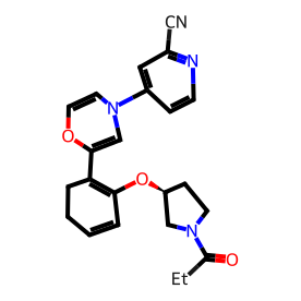 CCC(=O)N1CC[C@H](OC2=C(C3=CN(c4ccnc(C#N)c4)C=CO3)CCC=C2)C1